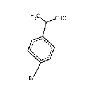 CC(C=O)c1ccc(Br)cc1